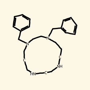 c1ccc(CN2CCCNCCNCCCN(Cc3ccccc3)CC2)cc1